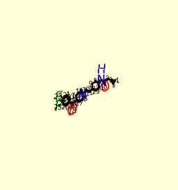 O=C(CC1CC1)NC1CCC(CCN2CCC(C(=O)c3ccc(F)c(F)c3)CC2)CC1